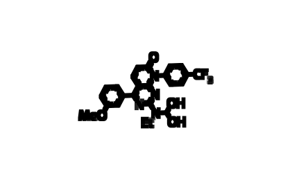 CCN(c1nc(-c2cccc(OC)c2)c2ccc(=O)n(-c3ccc(C(F)(F)F)cc3)c2n1)C(O)O